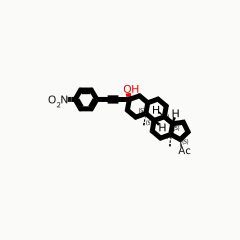 CC(=O)[C@H]1CC[C@H]2[C@@H]3CCC4CC(O)(C#Cc5ccc([N+](=O)[O-])cc5)CC[C@]4(C)[C@H]3CC[C@]12C